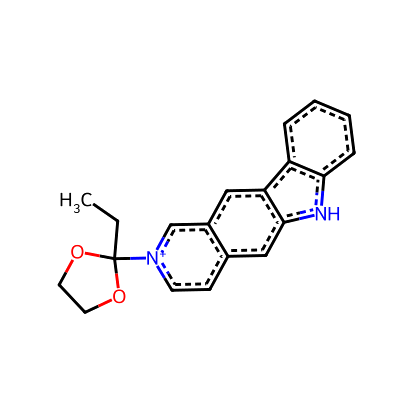 CCC1([n+]2ccc3cc4[nH]c5ccccc5c4cc3c2)OCCO1